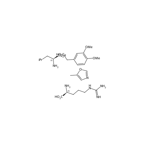 CC(C)C[C@H](N)C(=O)O.COc1ccc(CC(=O)O)cc1OC.Cc1cnco1.N=C(N)NCCC[C@H](N)C(=O)O